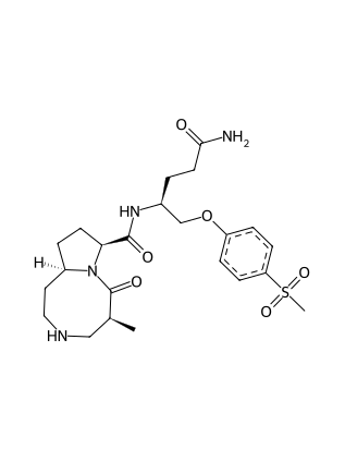 C[C@H]1CNCC[C@H]2CC[C@@H](C(=O)N[C@@H](CCC(N)=O)COc3ccc(S(C)(=O)=O)cc3)N2C1=O